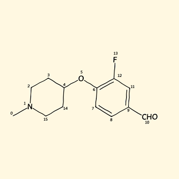 CN1CCC(Oc2ccc(C=O)cc2F)CC1